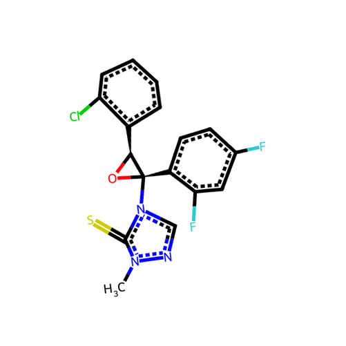 Cn1ncn([C@]2(c3ccc(F)cc3F)O[C@H]2c2ccccc2Cl)c1=S